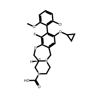 COc1cccc(Cl)c1-c1c(OC2CC2)cc2c(c1F)OC[C@H]1CN(C(=O)O)CCN1C2